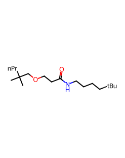 CCCC(C)(C)COCCC(=O)NCCCCC(C)(C)C